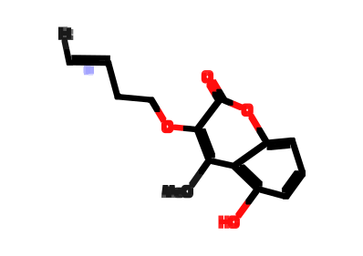 CC/C=C/CCOc1c(OC)c2c(O)cccc2oc1=O